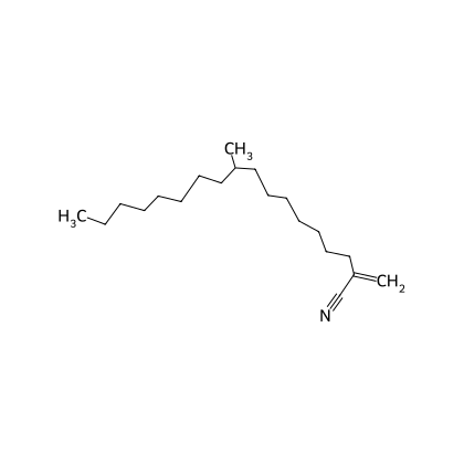 C=C(C#N)CCCCCCCC(C)CCCCCCCC